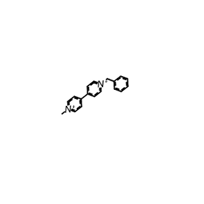 C[n+]1ccc(-c2cc[n+](Cc3ccccc3)cc2)cc1